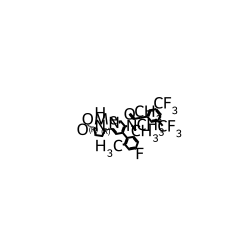 COC(=O)[C@H]1CC[C@H](c2cc(-c3ccc(F)cc3C)c(N(C)C(=O)C(C)(C)c3cc(C(F)(F)F)cc(C(F)(F)F)c3)cn2)N1